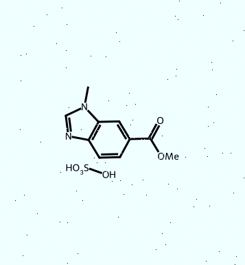 COC(=O)c1ccc2ncn(C)c2c1.O=S(=O)(O)O